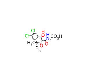 CC1(C)C(=O)C(C(=O)NCC(=O)O)=C(O)c2cc(Cl)c(Cl)cc21